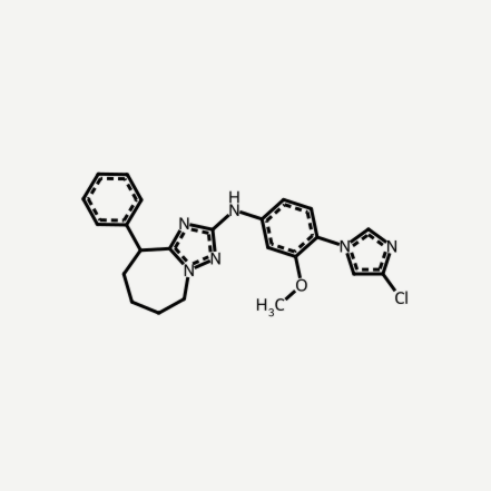 COc1cc(Nc2nc3n(n2)CCCCC3c2ccccc2)ccc1-n1cnc(Cl)c1